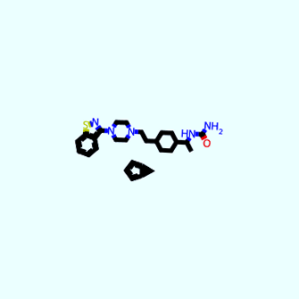 CC(NC(N)=O)C1CCC(CCN2CCN(c3nsc4ccccc34)CC2)CC1.c1cc2cc-2c1